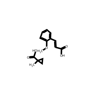 CC1(C(=O)O)CC1.COc1ccccc1C=CC(=O)O